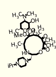 CO[C@]1(C)C[C@@H](C)CN[C@@H](CN2CCN(C(C)C)CC2)COC(=O)C(C)(C)C(=O)[C@H](C)[C@H]1O[C@@H]1O[C@H](C)C[C@H](N(C)C)[C@H]1O